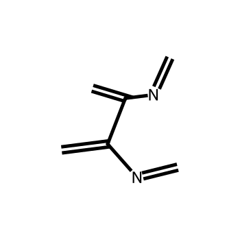 C=NC(=C)C(=C)N=C